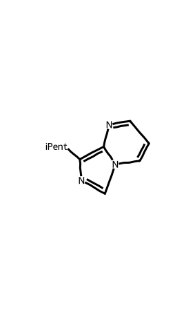 CCCC(C)c1ncn2cccnc12